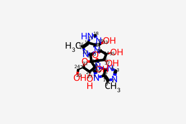 Cc1ncnc2c1ncn2C1(C2(c3nc(C)c4[nH]cnc4n3)O[C@H](CO)[C@@H](O)[C@H]2O)O[C@H](CO)[C@@H](O)[C@H]1O